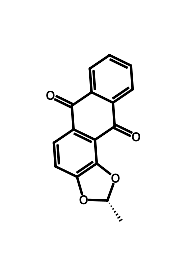 C[C@@H]1Oc2ccc3c(c2O1)C(=O)c1ccccc1C3=O